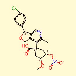 CO[C@H]1C[C@@](C(=O)O)(c2c(C)ncc3c2CO[C@H]3c2ccc(Cl)cc2)C[C@H]1O[N+](=O)[O-]